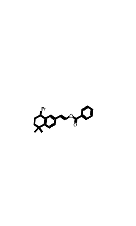 CC(C)C1CCC(C)(C)c2ccc(C=COC(=O)c3ccccc3)cc21